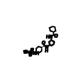 CC(C)(C)S(=O)(=O)N[C@H]1CC[C@H](C(=O)Nc2cccc(NC(=O)C3CCCCC3)c2)CC1